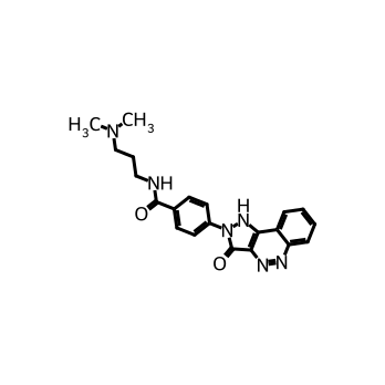 CN(C)CCCNC(=O)c1ccc(-n2[nH]c3c(nnc4ccccc43)c2=O)cc1